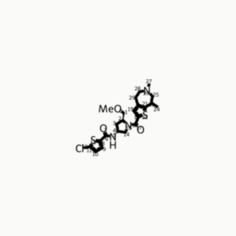 COC[C@@H]1C[C@@H](NC(=O)c2ccc(Cl)s2)CN1C(=O)c1cc2c(s1)C(C)CN(C)CC2